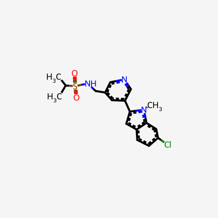 CC(C)S(=O)(=O)NCc1cncc(-c2cc3ccc(Cl)cc3n2C)c1